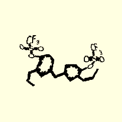 C/C=C\c1cc(Cc2ccc(OS(=O)(=O)C(F)(F)F)c(/C=C\C)c2)ccc1OS(=O)(=O)C(F)(F)F